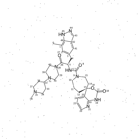 Cc1cc(C[C@@H](NC(=O)N2CCC[C@@]3(CC2)OC(=O)Nc2ncccc23)C(=O)N2CCN(C3CCN(C)CC3)CC2)cc2cn[nH]c12